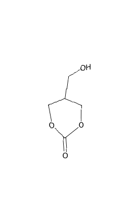 O=C1OCC(CO)CO1